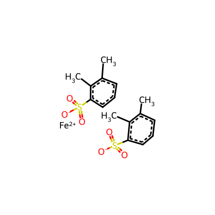 Cc1cccc(S(=O)(=O)[O-])c1C.Cc1cccc(S(=O)(=O)[O-])c1C.[Fe+2]